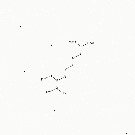 COC(COCCOP(OC(C)C)N(C(C)C)C(C)C)OC